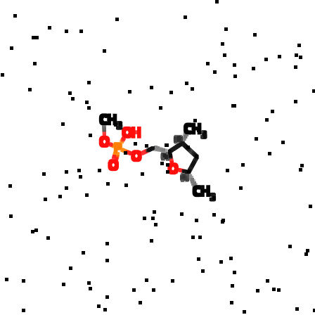 COP(=O)(O)OC[C@H]1O[C@@H](C)C[C@H]1C